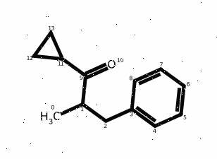 CC(Cc1ccccc1)C(=O)C1CC1